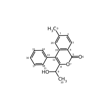 Cc1ccc2c(=O)oc(C(C)O)c(-c3ccccc3)c2c1